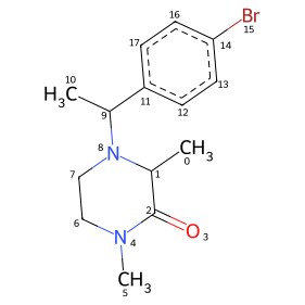 CC1C(=O)N(C)CCN1C(C)c1ccc(Br)cc1